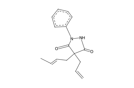 C=CCC1(CC=CC)C(=O)NN(c2ccccc2)C1=O